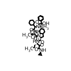 CCC[C@H](NC(=O)[C@@H]1CC2CCCCC2N1C(=O)[C@@H](NC(=O)C(NC(=O)[C@](C)(O)c1ccccc1)C1CCCCC1)C(C)(C)C)C(=O)C(=O)NC1CC1